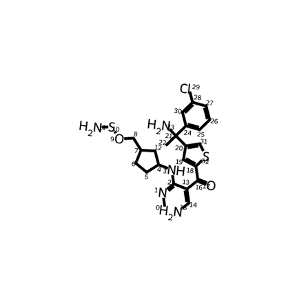 C/N=C(NC1CCC(COSN)C1)\C(=C/N)C(=O)c1cc(C(C)(N)c2cccc(Cl)c2)cs1